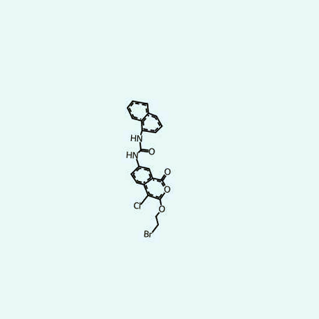 O=C(Nc1ccc2c(Cl)c(OCCBr)oc(=O)c2c1)Nc1cccc2ccccc12